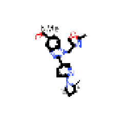 CNC(=O)c1ccc2c(c1)nc(-c1ccc(N3[C@@H](C)CC[C@@H]3C)nc1)n2Cc1coc(C)n1